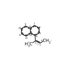 [CH2]/C=C(/C)c1cccc2ccccc12